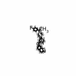 CC(c1ccc(F)cc1)N1CCN(c2cc(Oc3ccc4ccncc4c3)ncn2)CC1